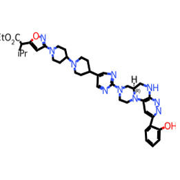 CCOC(=O)C(c1cc(N2CCC(N3CCC(c4cnc(N5CCN6c7cc(-c8ccccc8O)nnc7NC[C@@H]6C5)nc4)CC3)CC2)no1)C(C)C